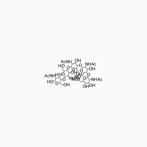 CC(=O)NC1C(O)OC(CO)C(OC2OC(CO)C(OC3OC(CO)C(OC4OC(CO)C(OC5OC(COC(C)=O)C(O)C(O)C5NC(C)=O)C(O)C4NC(C)=O)C(O)C3NC(C)=O)C(O)C2NC(C)=O)C1O